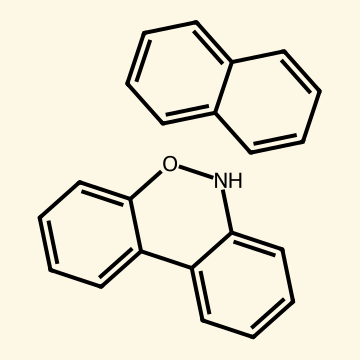 c1ccc2c(c1)NOc1ccccc1-2.c1ccc2ccccc2c1